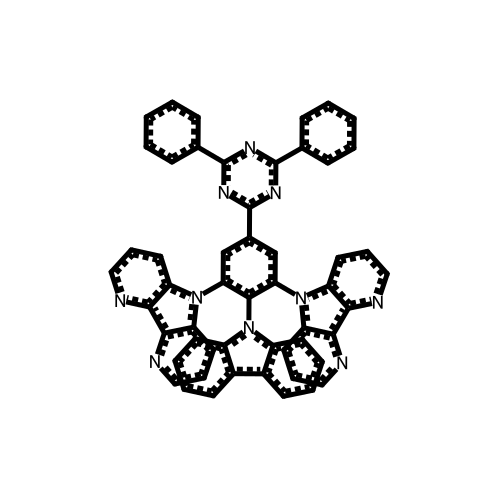 c1ccc(-c2nc(-c3ccccc3)nc(-c3cc(-n4c5cccnc5c5ncccc54)c(-n4c5ccccc5c5ccccc54)c(-n4c5cccnc5c5ncccc54)c3)n2)cc1